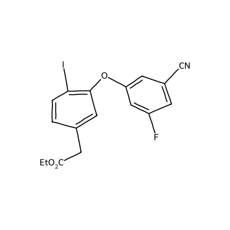 CCOC(=O)Cc1ccc(I)c(Oc2cc(F)cc(C#N)c2)c1